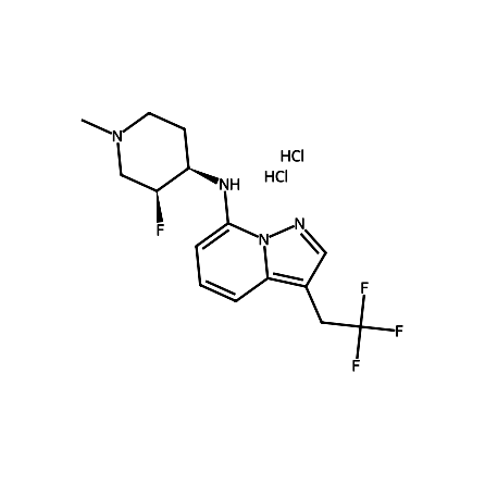 CN1CC[C@@H](Nc2cccc3c(CC(F)(F)F)cnn23)[C@@H](F)C1.Cl.Cl